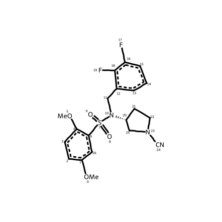 COc1ccc(OC)c(S(=O)(=O)N(Cc2cccc(F)c2F)[C@@H]2CCN(C#N)C2)c1